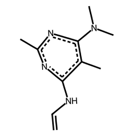 C=CNc1nc(C)nc(N(C)C)c1C